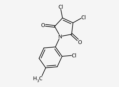 Cc1ccc(N2C(=O)C(Cl)=C(Cl)C2=O)c(Cl)c1